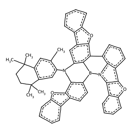 Cc1cc2c(cc1N1c3cc4c(oc5ccccc54)c4c3B(c3ccc5c(oc6ccccc65)c31)n1c3c-4cccc3c3oc4ccccc4c31)C(C)(C)CCC2(C)C